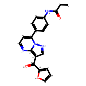 CCC(=O)Nc1ccc(-c2ccnc3c(C(=O)c4ccco4)cnn23)cc1